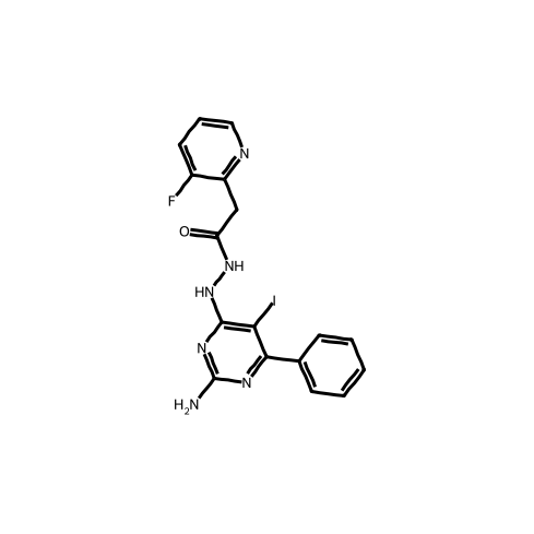 Nc1nc(NNC(=O)Cc2ncccc2F)c(I)c(-c2ccccc2)n1